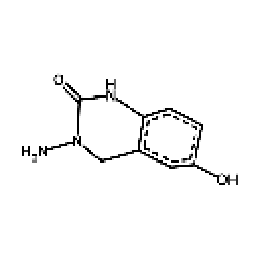 NN1Cc2cc(O)ccc2NC1=O